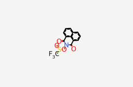 O=C1c2cccc3cccc(c23)C(=O)N1OS(=O)C(F)(F)F